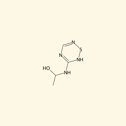 CC(O)NC1=NC=NSN1